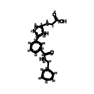 O=C(O)CSc1nnc(-c2cccc(C(=O)NCc3ccccc3)c2)[nH]1